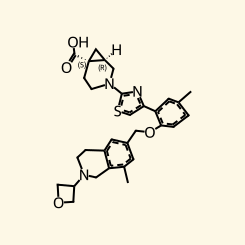 Cc1ccc(OCc2cc(C)c3c(c2)CCN(C2COC2)C3)c(-c2csc(N3CC[C@@]4(C(=O)O)C[C@H]4C3)n2)c1